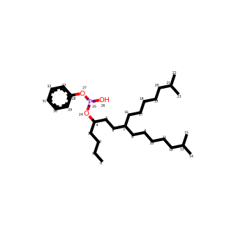 CCCCC(CCC(CCCCCC(C)C)CCCCCC(C)C)OP(O)Oc1ccccc1